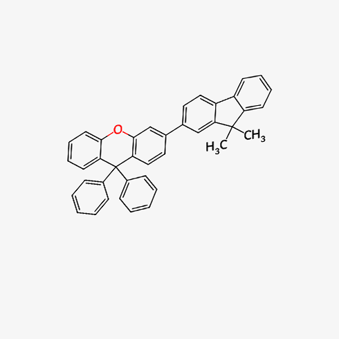 CC1(C)c2ccccc2-c2ccc(-c3ccc4c(c3)Oc3ccccc3C4(c3ccccc3)c3ccccc3)cc21